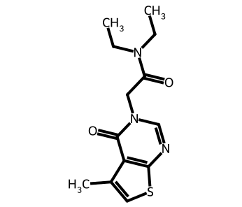 CCN(CC)C(=O)Cn1cnc2scc(C)c2c1=O